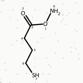 NOC(=O)CCCS